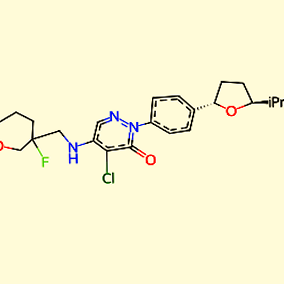 CC(C)[C@@H]1CC[C@@H](c2ccc(-n3ncc(NCC4(F)CCCOC4)c(Cl)c3=O)cc2)O1